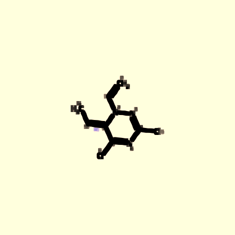 C=CN1N=C(Cl)N=C(Cl)/C1=C/C